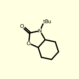 CC(C)(C)N1C(=O)OC2CCCCC21